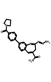 NN=NC1=Nc2cc(-c3ccc(C(=O)N4CCCC4)cc3)ccc2C=C(C(N)=O)C1